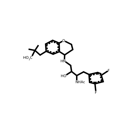 CC(=O)NC(Cc1cc(F)cc(F)c1)C(O)CNC1CCOc2ccc(CC(C)(C)C(=O)O)cc21